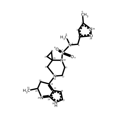 Cc1cc(CN(C)S(=O)(=O)N2CCN(C3=c4cc[nH]c4=NC(C)C3)CC23CC3)on1